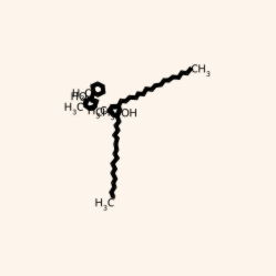 CCCCCCCCCCCCCCCCCCc1cc(C)cc(CCCCCCCCCCCCCCCCCC)c1O.Cc1cc(C)c(O)c(C2(C)CCCCC2)c1